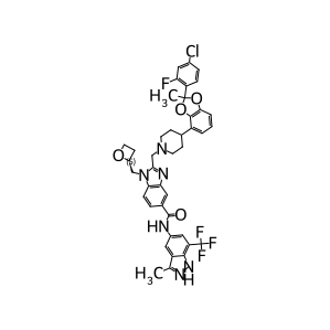 Cc1n[nH]c2c(C(F)(F)F)cc(NC(=O)c3ccc4c(c3)nc(CN3CCC(c5cccc6c5OC(C)(c5ccc(Cl)cc5F)O6)CC3)n4C[C@@H]3CCO3)cc12